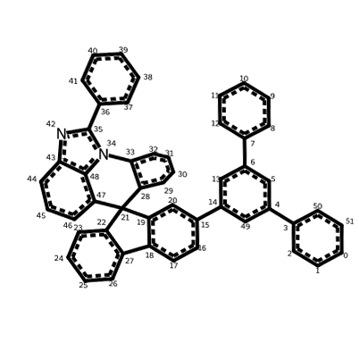 c1ccc(-c2cc(-c3ccccc3)cc(-c3ccc4c(c3)C3(c5ccccc5-4)c4ccccc4-n4c(-c5ccccc5)nc5cccc3c54)c2)cc1